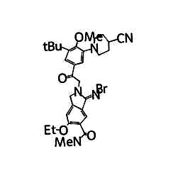 CCOc1cc2c(cc1C(=O)NC)/C(=N/Br)N(CC(=O)c1cc(N3CCC(C#N)CC3)c(OC)c(C(C)(C)C)c1)C2